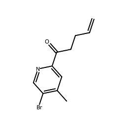 C=CCCC(=O)c1cc(C)c(Br)cn1